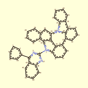 c1ccc(-c2nc(-n3c4cccc5c6cccc7c8ccccc8n(c8cc9ccccc9c3c8c54)c67)nc3ccccc23)cc1